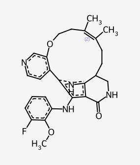 COc1c(F)cccc1Nc1c2[nH]c3c1C(=O)NCC3CC/C(C)=C(/C)CCOc1cnccc1-2